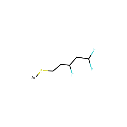 CC(=O)SCCC(F)CC(F)F